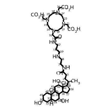 C[C@H](CCC(=O)NCCNCCCNC(=O)CN1CCN(CC(=O)O)CCN(CC(=O)O)CCN(CC(=O)O)CC1)[C@H]1CCC2C3C(C[C@H](O)[C@@]21C)[C@@]1(C)CC[C@@H](O)C[C@H]1C[C@H]3O